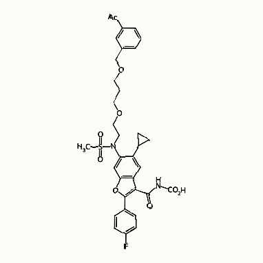 CC(=O)c1cccc(COCCCOCCN(c2cc3oc(-c4ccc(F)cc4)c(C(=O)NC(=O)O)c3cc2C2CC2)S(C)(=O)=O)c1